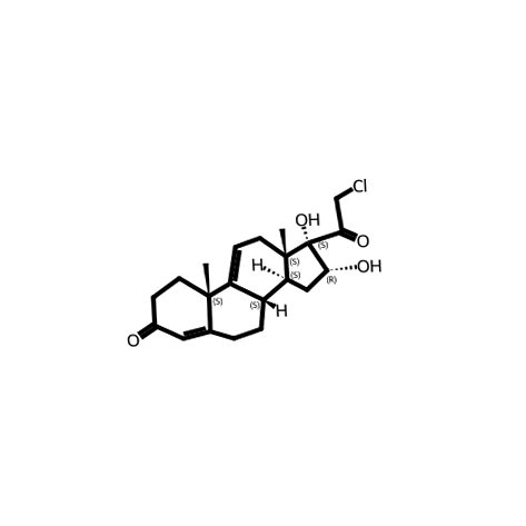 C[C@]12CCC(=O)C=C1CC[C@@H]1C2=CC[C@@]2(C)[C@H]1C[C@@H](O)[C@]2(O)C(=O)CCl